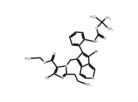 CCCc1nc(Cl)c(C(=O)OCC)n1Cc1c2ccocc-2c(Br)c1-c1ccccc1NC(=O)OC(C)(C)C